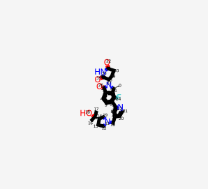 C[C@@H]1c2c(ccc(-c3cc(CN4CC[C@@H](C(C)(C)O)C4)ccn3)c2F)C(=O)N1[C@H]1CCC(=O)NC1=O